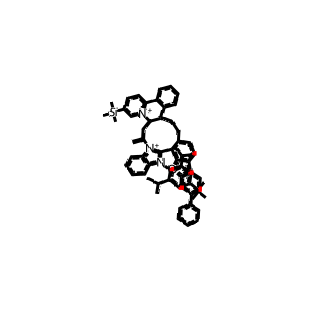 C=C1CC2C(CCc3ccc4c(oc5cc(-c6ccccc6)ccc54)c3-c3n(-c4c(C(C)C)cc(C(C)(C)C)cc4C(C)C)c4ccccc4[n+]31)c1ccccc1-c1ccc([Si](C)(C)C)c[n+]12